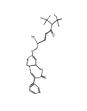 CC(C)(C)C(C(=O)CCC(O)COC1=CC2SC(=S)C(c3ccccc3)=CC2C=C1)C(C)(C)C